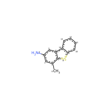 Cc1cc(N)cc2c1sc1ccccc12